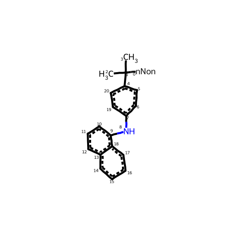 CCCCCCCCCC(C)(C)c1ccc(Nc2cccc3ccccc23)cc1